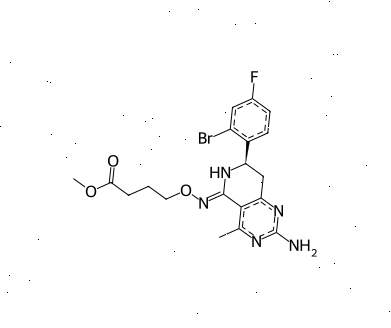 COC(=O)CCCO/N=C1\N[C@@H](c2ccc(F)cc2Br)Cc2nc(N)nc(C)c21